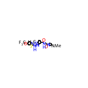 CN[C@H]1CCN(C(=O)CNC(=O)c2ccc3c(c2)nc(Nc2nc4ccc(OC(F)(F)F)cc4s2)n3C)C1